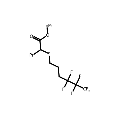 CCCOC(=O)C(SCCCC(F)(F)C(F)(F)C(F)(F)F)C(C)C